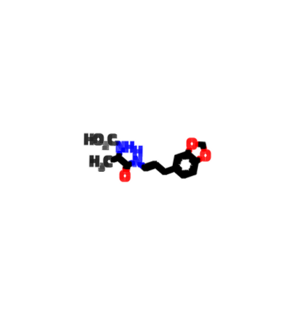 CC(NC(=O)O)C(=O)N/C=C/Cc1ccc2c(c1)OCO2